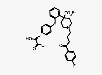 CCOC(=O)C1(c2ccccc2Sc2ccccc2)CCN(CCCC(=O)c2ccc(F)cc2)CC1.O=C(O)C(=O)O